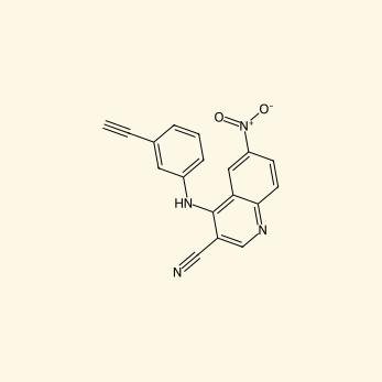 C#Cc1cccc(Nc2c(C#N)cnc3ccc([N+](=O)[O-])cc23)c1